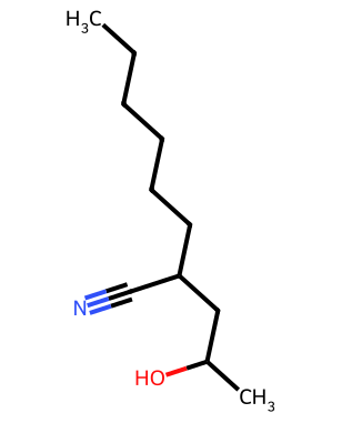 CCCCCCC(C#N)CC(C)O